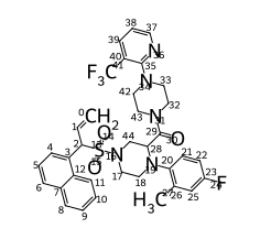 C=CC(c1cccc2ccccc12)S(=O)(=O)N1CCN(c2ccc(F)cc2C)C(C(=O)N2CCN(c3ncccc3C(F)(F)F)CC2)C1